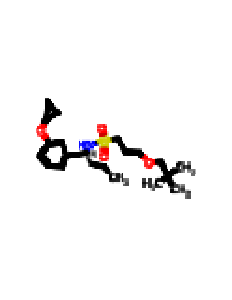 CCC[C@@H](NS(=O)(=O)CCCOCC(C)(C)C)c1cccc(OC2CC2)c1